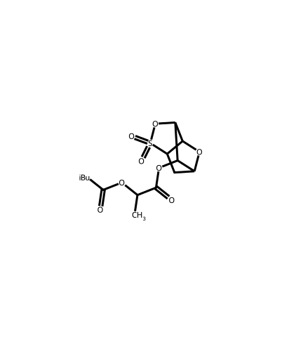 CCC(C)C(=O)OC(C)C(=O)OC1C2CC3C(O2)C1OS3(=O)=O